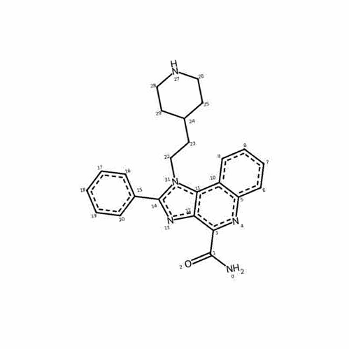 NC(=O)c1nc2ccccc2c2c1nc(-c1ccccc1)n2CCC1CCNCC1